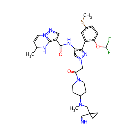 CSc1ccc(OC(F)F)c(-c2nn(CC(=O)N3CCC(N(C)CC4(C=N)CC4)CC3)cc2NC(=O)c2cnn3c2NC(C)C=C3)c1